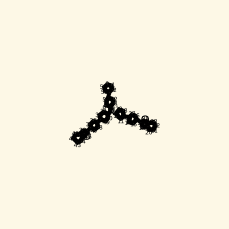 c1ccc(-c2ccc(N(c3ccc(-c4ccc(-c5cc6ccccc6o5)cc4)cc3)c3ccc(-c4ccc(-c5cc6ccccc6o5)cc4)cc3)cc2)cc1